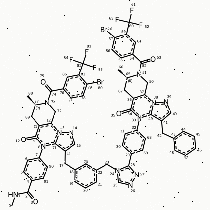 CNC(=O)c1ccc(-n2c(=O)c3c(n4ncc(Cc5cccc(Cn6cnnc6-c6ccc(-n7c(=O)c8c(n9ncc(Cc%10ccccc%10)c79)CN(C(=O)c7ccc(Br)c(C(F)(F)F)c7)[C@H](C)C8)cc6)c5)c24)CN(C(=O)c2ccc(Br)c(C(F)(F)F)c2)[C@H](C)C3)cc1